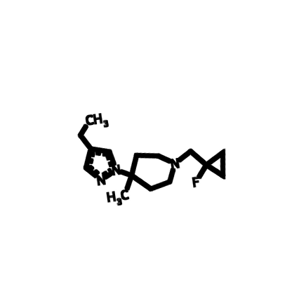 CCc1cnn(C2(C)CCN(CC3(F)CC3)CC2)c1